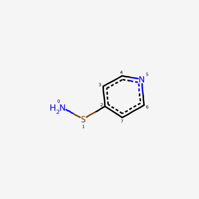 NSc1ccncc1